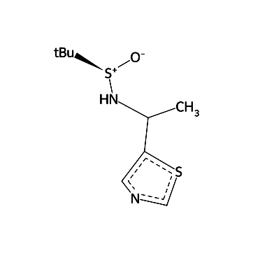 CC(N[S@+]([O-])C(C)(C)C)c1cncs1